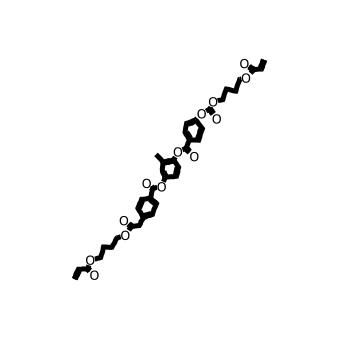 C=CC(=O)OCCCCOC(=O)Cc1ccc(C(=O)Oc2ccc(OC(=O)c3ccc(OC(=O)OCCCCOC(=O)C=C)cc3)c(C)c2)cc1